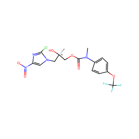 CN(C(=O)OC[C@](C)(O)Cn1cc([N+](=O)[O-])nc1Cl)c1ccc(OC(F)(F)F)cc1